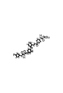 CC(C)(C)OC(=O)NC1CCN(C(=O)/C=C/c2cnccc2Oc2ccc(NC(=O)NC(=O)Cc3ccc(F)cc3)cc2F)CC1